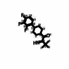 CC(C)(C)C(=N)C(=O)C1CCC(c2ccc(F)c(F)c2F)CC1